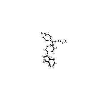 CCOC(=O)C(C1CCNCC1)N1CCC(c2coc3ncccc23)CC1